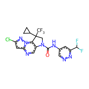 O=C(Nc1cnnc(C(F)F)c1)N1CC(C2CC2)(C(F)(F)F)c2c1cnc1cc(Cl)nn21